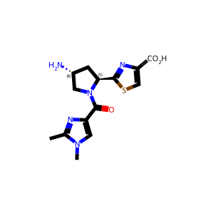 Cc1nc(C(=O)N2C[C@H](N)C[C@H]2c2nc(C(=O)O)cs2)cn1C